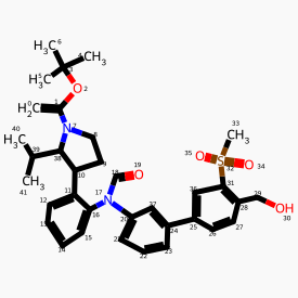 C=C(OC(C)(C)C)N1CCC(c2ccccc2N(C=O)c2cccc(-c3ccc(CO)c(S(C)(=O)=O)c3)c2)C1C(C)C